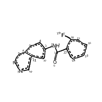 O=C(Nc1ccc2ccncc2c1)c1ccccc1F